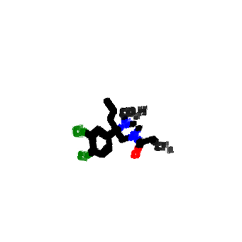 C=CCC(CN(C)C(=O)CC(F)(F)F)(c1ccc(Cl)c(Cl)c1)N(C)C(=O)O